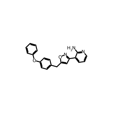 Nc1ncccc1-c1cc(Cc2ccc(Oc3ccccc3)cc2)on1